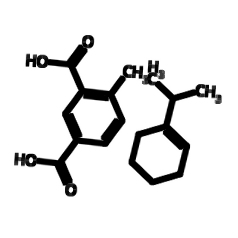 CC(C)C1=CCCCC1.Cc1ccc(C(=O)O)cc1C(=O)O